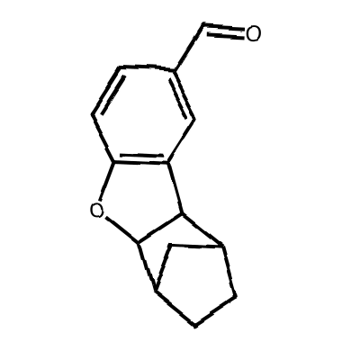 O=Cc1ccc2c(c1)C1C3CCC(C3)C1O2